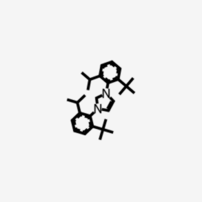 CC(C)c1cccc(C(C)(C)C)c1N1C=CN(c2c(C(C)C)cccc2C(C)(C)C)C1